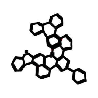 c1ccc(-c2cc(-c3ccccc3)c(N(c3ccc(-c4ccccc4-c4ccccc4-c4ccccc4)cc3)c3ccc4c(c3)sc3ccccc34)c(-c3ccccc3)c2)cc1